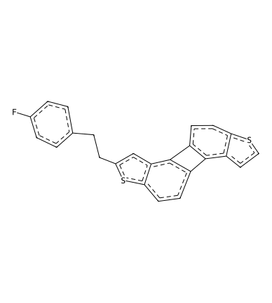 Fc1ccc(CCc2cc3c4c(ccc3s2)-c2c-4ccc3sccc23)cc1